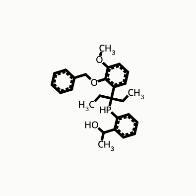 CCC(CC)(Pc1ccccc1C(C)O)c1cccc(OC)c1OCc1ccccc1